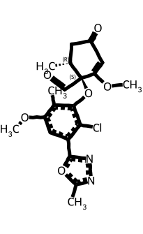 COC1=CC(=O)C[C@@H](C)[C@]1(C=O)Oc1c(C)c(OC)cc(-c2nnc(C)o2)c1Cl